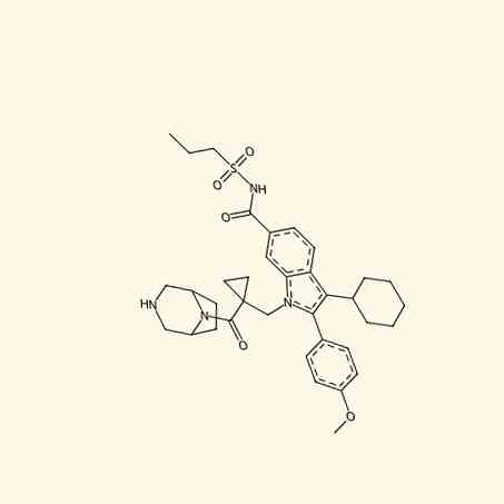 CCCS(=O)(=O)NC(=O)c1ccc2c(C3CCCCC3)c(-c3ccc(OC)cc3)n(CC3(C(=O)N4C5CCC4CNC5)CC3)c2c1